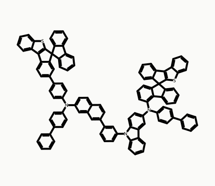 c1ccc(-c2ccc(N(c3ccc(-c4ccc5c(c4)C4(c6ccccc6-c6ccccc64)c4sc6ccccc6c4-5)cc3)c3ccc4ccc(-c5cccc(-n6c7ccccc7c7cc(N(c8ccc(-c9ccccc9)cc8)c8cccc9c8-c8ccccc8C98c9ccccc9-c9c8sc8ccccc98)ccc76)c5)cc4c3)cc2)cc1